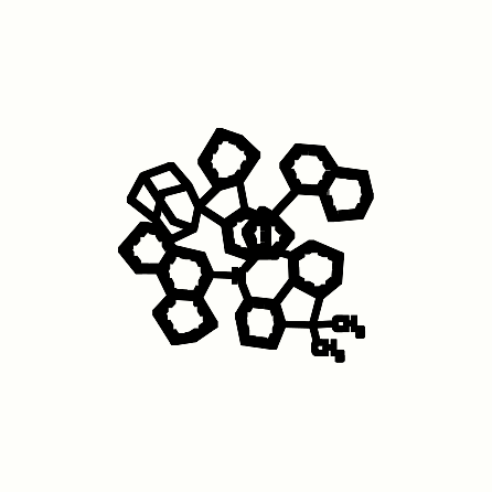 CC1(C)c2cccc(-c3ccc4c(c3)-c3ccccc3C43C4CC5CC(C4)CC3C5)c2-c2c(N(c3ccc(-c4cccc5ccccc45)cc3)c3cc4ccccc4c4ccccc34)cccc21